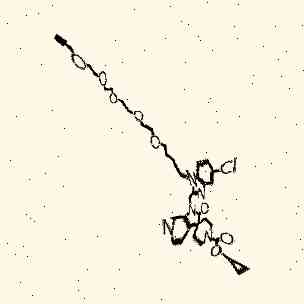 C#CCOCCOCCOCCOCCOCCCCn1c(CN2C(=O)C3(CCN(C(=O)OC4CC4)CC3)c3ccncc32)nc2cc(Cl)ccc21